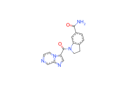 NC(=O)c1ccc2c(c1)N(C(=O)c1cnc3cnccn13)CC2